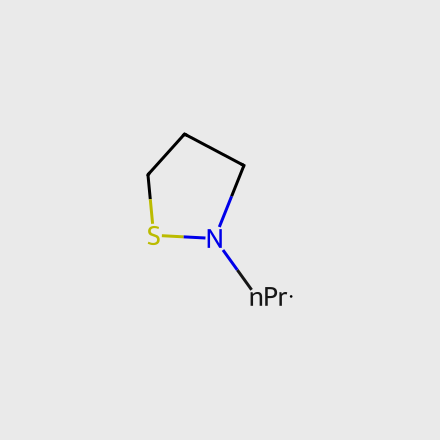 CC[CH]N1CCCS1